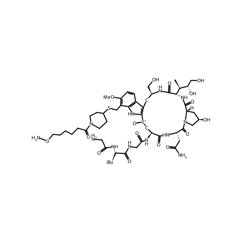 CC[C@H](C)[C@H](NC(=O)CN)C(=O)NCC(=O)N[C@H]1C[S+]([O-])c2[nH]c3c(CSC4CCN(C(=O)CCCCCON)CC4)c(OC)ccc3c2C[C@@H](CO)NC(=O)[C@H]([C@@H](C)[C@@H](O)CO)NC(=O)[C@@H]2C[C@@H](O)CN2C(=O)[C@H](CC(N)=O)NC1=O